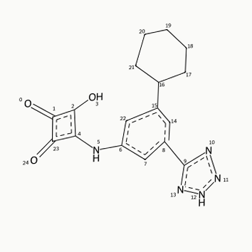 O=c1c(O)c(Nc2cc(-c3nn[nH]n3)cc(C3CCCCC3)c2)c1=O